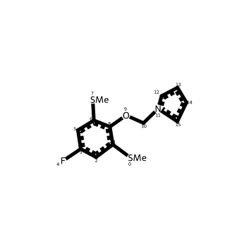 CSc1cc(F)cc(SC)c1OCn1cccc1